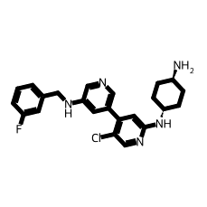 N[C@H]1CC[C@H](Nc2cc(-c3cncc(NCc4cccc(F)c4)c3)c(Cl)cn2)CC1